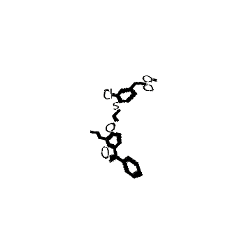 CCCc1c(OCCCSc2ccc(CC(=O)OC)cc2Cl)ccc2c(-c3ccccc3)coc12